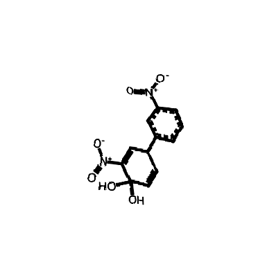 O=[N+]([O-])C1=CC(c2cccc([N+](=O)[O-])c2)C=CC1(O)O